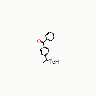 CC([TeH])c1ccc(C(=O)c2ccccc2)cc1